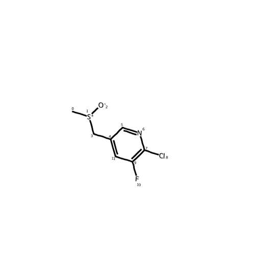 C[S+]([O-])Cc1cnc(Cl)c(F)c1